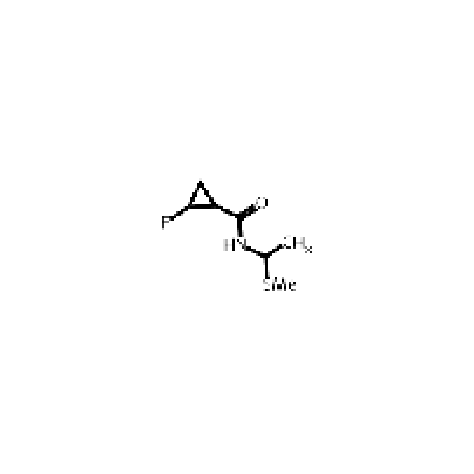 CSC(C)NC(=O)C1CC1F